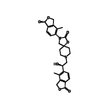 Cc1c([C@@H](O)CN2CCC3(CC2)CN(c2ccc4c(c2C)COC4=O)C(=O)O3)ccc2c1COC2=O